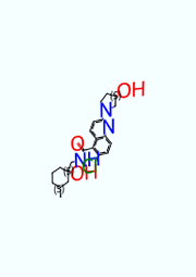 C[C@H]1CCC[C@@](O)(CNC(=O)c2c(Cl)ccc3nc(N4CC[C@H](O)C4)ccc23)C1